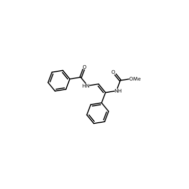 COC(=O)N/C(=C/NC(=O)c1ccccc1)c1ccccc1